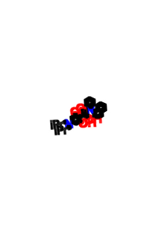 CC(C)CN(CC(C)C)c1cc(O)c(C2=C(O)C(N(c3ccccc3)c3cccc4ccccc34)C2=O)c(O)c1